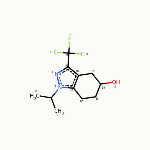 CC(C)n1nc(C(F)(F)F)c2c1CCC(O)C2